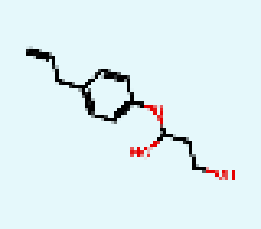 C=CCc1ccc(OC(O)C[CH]O)cc1